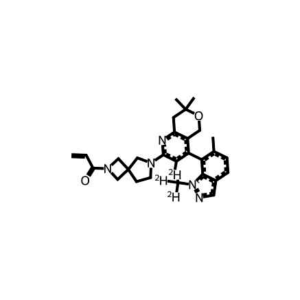 [2H]C([2H])([2H])n1ncc2ccc(C)c(-c3c(C)c(N4CCC5(CN(C(=O)C=C)C5)C4)nc4c3COC(C)(C)C4)c21